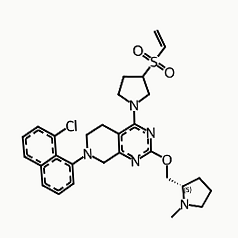 C=CS(=O)(=O)C1CCN(c2nc(OC[C@@H]3CCCN3C)nc3c2CCN(c2cccc4cccc(Cl)c24)C3)C1